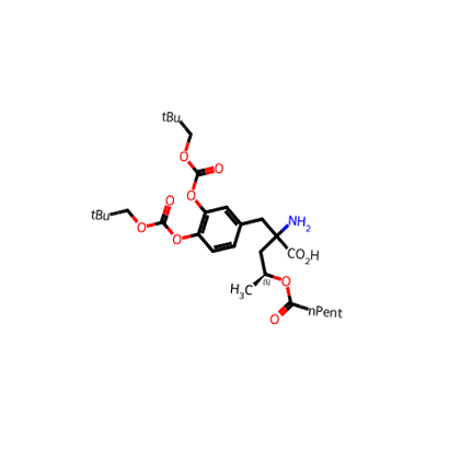 CCCCCC(=O)O[C@@H](C)CC(N)(Cc1ccc(OC(=O)OCC(C)(C)C)c(OC(=O)OCC(C)(C)C)c1)C(=O)O